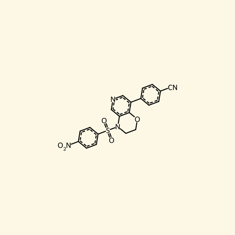 N#Cc1ccc(-c2cncc3c2OCCN3S(=O)(=O)c2ccc([N+](=O)[O-])cc2)cc1